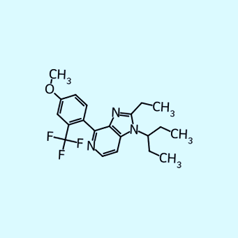 CCc1nc2c(-c3ccc(OC)cc3C(F)(F)F)nccc2n1C(CC)CC